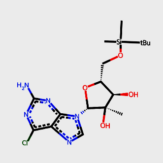 CC(C)(C)[Si](C)(C)OC[C@H]1O[C@@H](n2cnc3c(Cl)nc(N)nc32)[C@](C)(O)[C@@H]1O